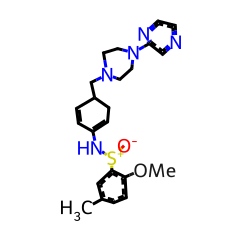 COc1ccc(C)cc1[S+]([O-])NC1=CCC(CN2CCN(c3cnccn3)CC2)C=C1